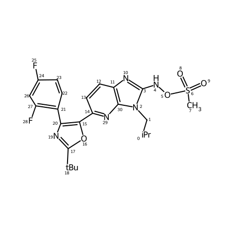 CC(C)Cn1c(NOS(C)(=O)=O)nc2ccc(-c3oc(C(C)(C)C)nc3-c3ccc(F)cc3F)nc21